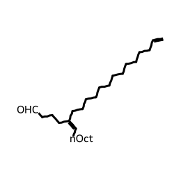 C=CCCCCCCCCCCCC/C(=C/CCCCCCCC)CCCC=O